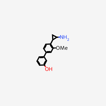 COc1cc(-c2cccc(O)c2)ccc1C1CC1N